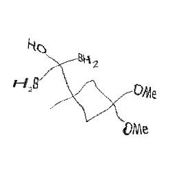 BC(B)(O)C1(C)CC(OC)(OC)C1